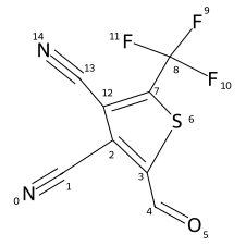 N#Cc1c(C=O)sc(C(F)(F)F)c1C#N